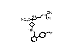 NC(CCCCB(O)O)(C(=O)O)[C@H]1C[C@@H](NCc2ccccc2-c2ccc(CF)cc2)C1